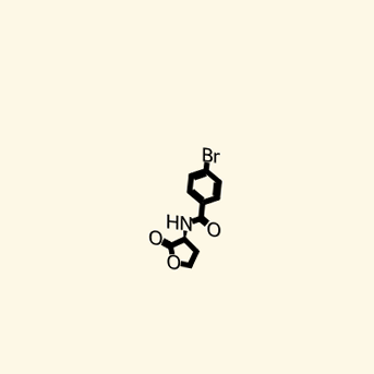 O=C(N[C@H]1CCOC1=O)c1ccc(Br)cc1